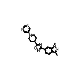 Cc1nn(C)c2cc(-c3noc(C4CCN(c5cncnc5)CC4)n3)ccc12